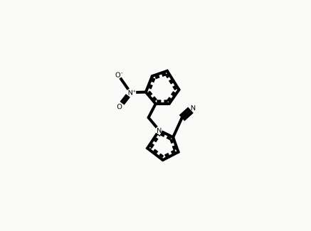 N#Cc1cccn1Cc1ccccc1[N+](=O)[O-]